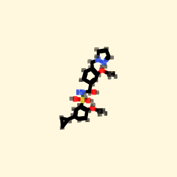 COc1cc(C(=O)NS(=O)(=O)c2cc(C3CC3)ccc2OC)ccc1Cn1cccn1